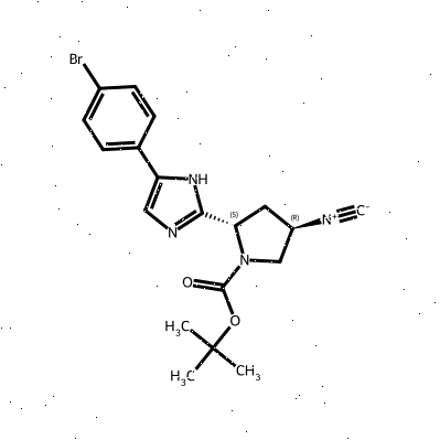 [C-]#[N+][C@@H]1C[C@@H](c2ncc(-c3ccc(Br)cc3)[nH]2)N(C(=O)OC(C)(C)C)C1